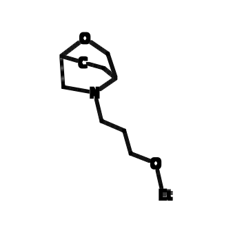 CCOCCCN1CC2CCC1CO2